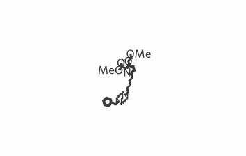 COCOc1ccc(CCCCCN2CCN(Cc3ccccc3)CC2)nc1C(=O)OC